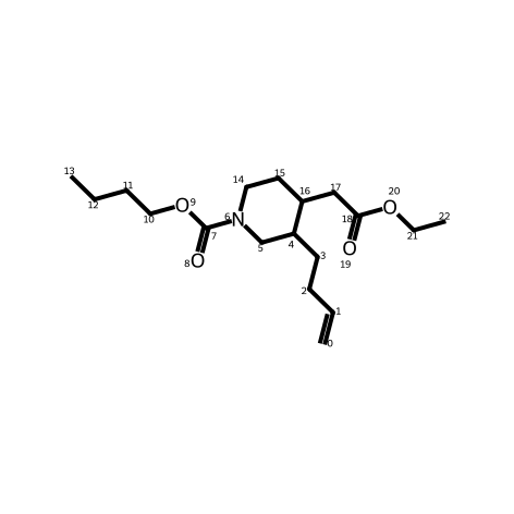 C=CCCC1CN(C(=O)OCCCC)CCC1CC(=O)OCC